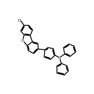 Clc1ccc2c(c1)oc1ccc(-c3ccc(N(c4ccccc4)c4ccccc4)cc3)cc12